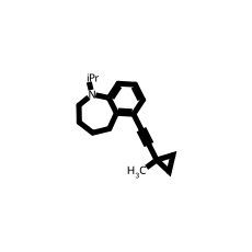 CC(C)N1CCCCc2c(C#CC3(C)CC3)cccc21